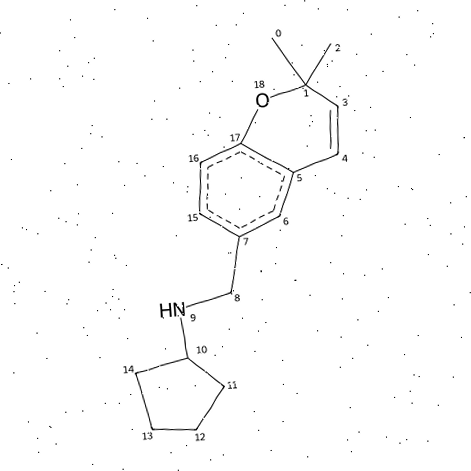 CC1(C)C=Cc2cc(CNC3CCCC3)ccc2O1